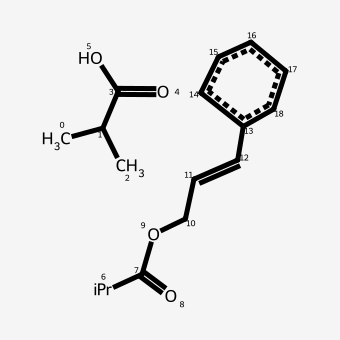 CC(C)C(=O)O.CC(C)C(=O)OCC=Cc1ccccc1